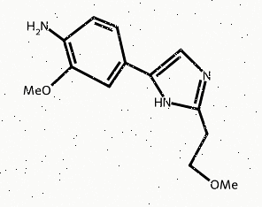 COCCc1ncc(-c2ccc(N)c(OC)c2)[nH]1